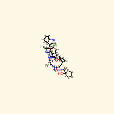 CC(C)[C@@H]1NC(=O)[C@@H](NC(=O)C2(O)CCCCC2)Cc2ccc3c(c2)C2(c4ccccc4N[C@H]2O3)c2oc1nc2-c1nc(Cl)c(-c2c(Cl)[nH]c3ccccc23)o1